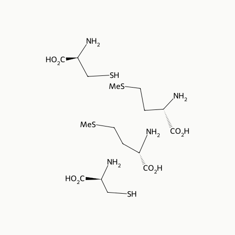 CSCC[C@H](N)C(=O)O.CSCC[C@H](N)C(=O)O.N[C@@H](CS)C(=O)O.N[C@@H](CS)C(=O)O